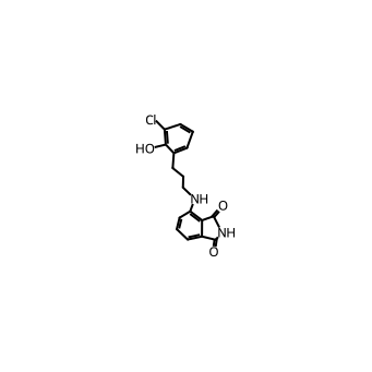 O=C1NC(=O)c2c(NCCCc3cccc(Cl)c3O)cccc21